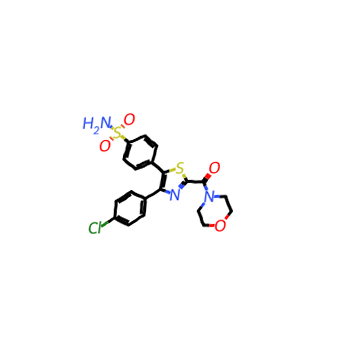 NS(=O)(=O)c1ccc(-c2sc(C(=O)N3CCOCC3)nc2-c2ccc(Cl)cc2)cc1